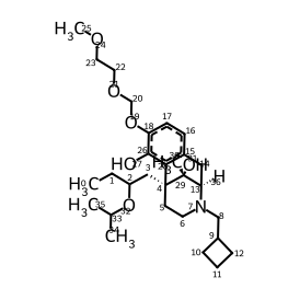 CCC(C[C@]12CCN(CC3CCC3)[C@H](Cc3ccc(OCOCCOC)c(O)c31)[C@@]2(C)O)OC(C)C